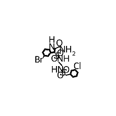 NC(=O)c1[nH]c2ccc(Br)cc2c1S(=O)(=O)NCCNS(=O)(=O)Cc1cccc(Cl)c1